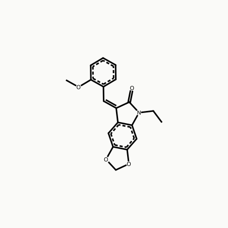 CCN1C(=O)/C(=C\c2ccccc2OC)c2cc3c(cc21)OCO3